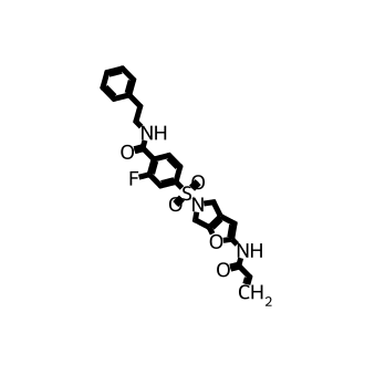 C=CC(=O)Nc1cc2c(o1)CN(S(=O)(=O)c1ccc(C(=O)NCCc3ccccc3)c(F)c1)C2